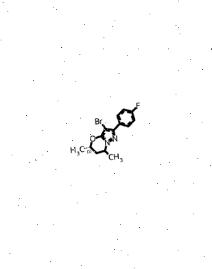 CC1C[C@H](C)Oc2c(Br)c(-c3ccc(F)cc3)nn21